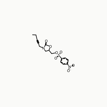 CCC#CCN1CC(COS(=O)(=O)c2ccc([N+](=O)[O-])cc2)OC1=O